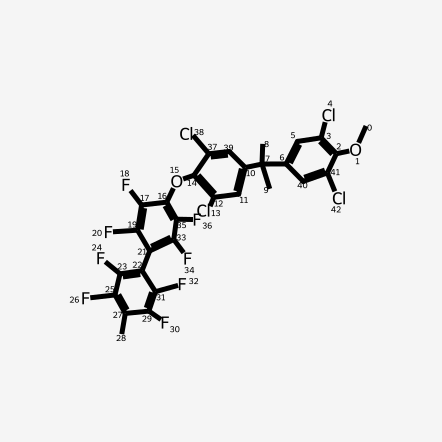 COc1c(Cl)cc(C(C)(C)c2cc(Cl)c(Oc3c(F)c(F)c(-c4c(F)c(F)c(C)c(F)c4F)c(F)c3F)c(Cl)c2)cc1Cl